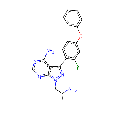 C[C@@H](N)Cn1nc(-c2ccc(Oc3ccccc3)cc2F)c2c(N)ncnc21